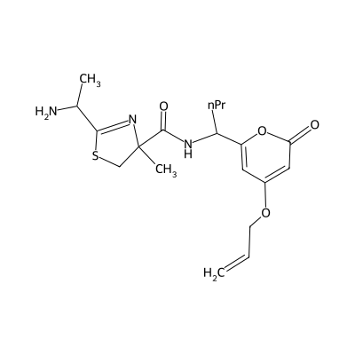 C=CCOc1cc(C(CCC)NC(=O)C2(C)CSC(C(C)N)=N2)oc(=O)c1